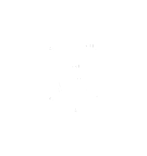 CC(=O)/C=C(/C)O.CC(=O)C(C(=O)C(F)(F)F)c1ccco1